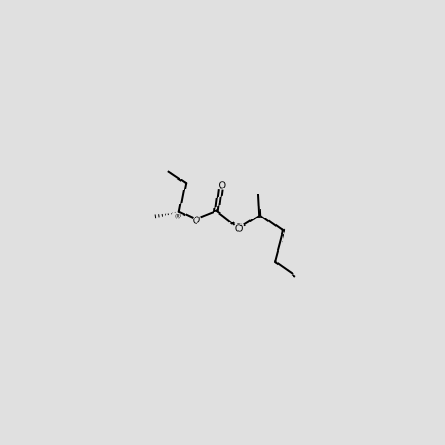 CCCC(C)OC(=O)O[C@H](C)CC